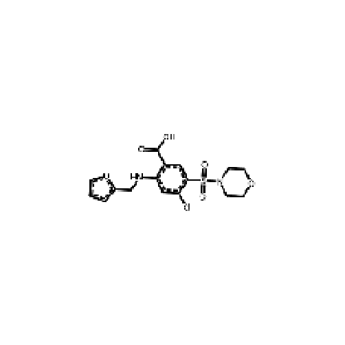 O=C(O)c1cc(S(=O)(=O)N2CCOCC2)c(Cl)cc1NCc1ccco1